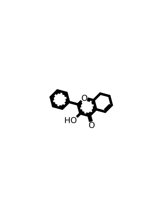 O=c1c(O)c(-c2ccccc2)oc2c1C=CCC2